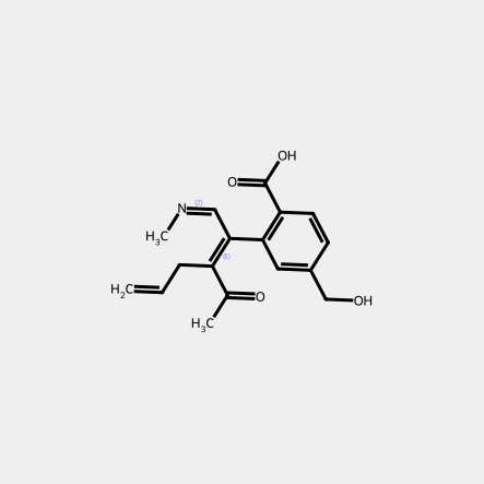 C=CC/C(C(C)=O)=C(\C=N/C)c1cc(CO)ccc1C(=O)O